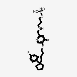 O=[PH](O)OCCCNCc1cc(F)c(SCCCCC2(c3ccc(F)cc3)CCCC2)cn1